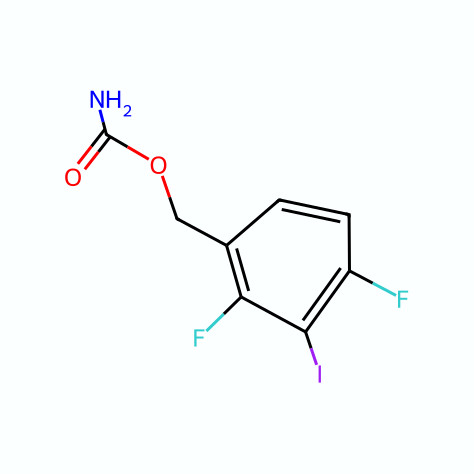 NC(=O)OCc1ccc(F)c(I)c1F